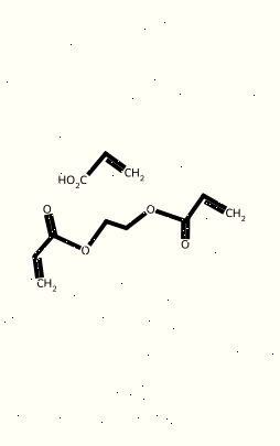 C=CC(=O)O.C=CC(=O)OCCOC(=O)C=C